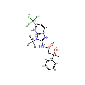 CC(O)(CC(=O)Nc1nc2ccc(C(F)(F)F)nc2n1C(C)(C)C)c1ccccc1